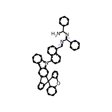 NC(/N=C(\N=C\c1cccc2c(-n3c4ccccc4c4cc5c(cc43)C3(c4ccccc4Oc4ccccc43)c3ccccc3-5)cccc12)c1ccccc1)c1ccccc1